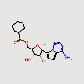 C[C@@]1(c2ccc3c(N)ncnn23)O[C@H](COC(=O)C2CCCCC2)[C@@H](O)[C@H]1O